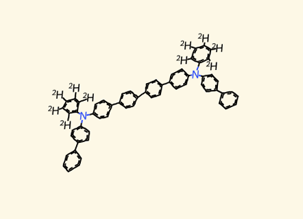 [2H]c1c([2H])c([2H])c(N(c2ccc(-c3ccccc3)cc2)c2ccc(-c3ccc(-c4ccc(-c5ccc(N(c6ccc(-c7ccccc7)cc6)c6c([2H])c([2H])c([2H])c([2H])c6[2H])cc5)cc4)cc3)cc2)c([2H])c1[2H]